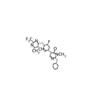 Cc1nc(C(F)(F)F)nc(Cc2ccc(-c3cnc(Cc4ccccc4)n(C)c3=O)cc2F)c1C